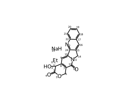 CC[C@@]1(O)C(=O)OCc2c1cc1n(c2=O)Cc2cc3ccccc3nc2-1.[NaH]